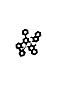 Cc1c(N2c3cc(-c4ccccc4)cc4c3B(c3cc5ccccc5c(C)c32)n2c3ccccc3c3cccc-4c32)ccc2ccccc12